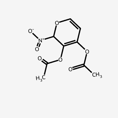 CC(=O)OC1=C(OC(C)=O)C([N+](=O)[O-])OC=C1